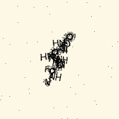 CN(C)CCNc1cc(F)cc(-c2ccnc3[nH]c(-c4n[nH]c5ccc(-c6cncc(NC(=O)CC7CCCCC7)c6)cc45)nc23)c1